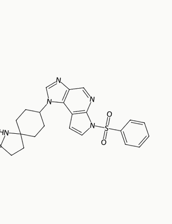 O=C1CCC2(CCC(n3cnc4cnc5c(ccn5S(=O)(=O)c5ccccc5)c43)CC2)N1